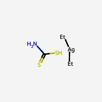 C[CH2][Ag][CH2]C.NC(=S)S